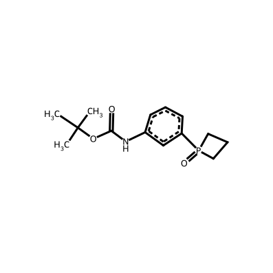 CC(C)(C)OC(=O)Nc1cccc(P2(=O)CCC2)c1